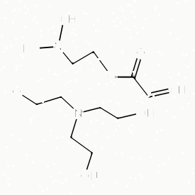 C=CC(=O)OCCN(C)C.OCCN(CCO)CCO